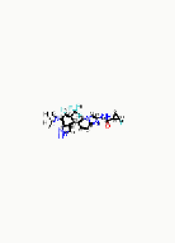 CN(C)c1c(F)c(C(F)(F)F)c(-c2ccc3nc(NC(=O)C4CC4F)cn3c2)c2cn[nH]c12